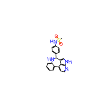 CS(=O)(=O)Nc1ccc(C2Nc3ccccc3-c3ccnc4[nH]cc2c34)cc1